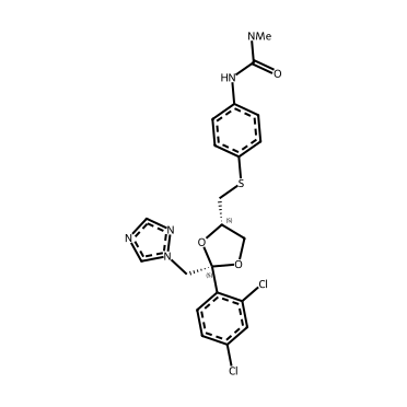 CNC(=O)Nc1ccc(SC[C@@H]2CO[C@@](Cn3cncn3)(c3ccc(Cl)cc3Cl)O2)cc1